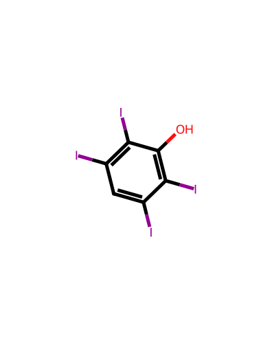 Oc1c(I)c(I)cc(I)c1I